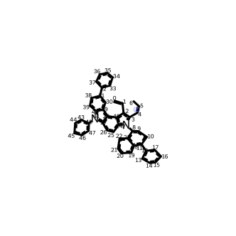 C=Cc1c(/C=C\C)n(-c2ccc(-c3ccccc3)c3ccccc23)c2ccc3c(c4cc(-c5ccccc5)ccc4n3-c3ccccc3)c12